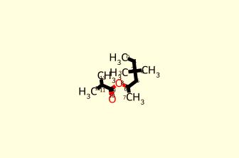 CCC(C)(C)CC(C)OC(=O)C(C)C